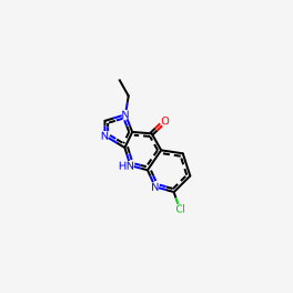 CCn1cnc2[nH]c3nc(Cl)ccc3c(=O)c21